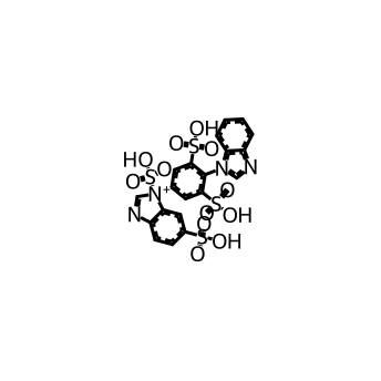 O=S(=O)(O)c1ccc2c(c1)[N+](c1cc(S(=O)(=O)O)c(-n3cnc4ccccc43)c(S(=O)(=O)O)c1)(S(=O)(=O)O)C=N2